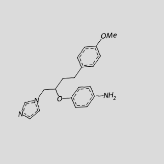 COc1ccc(CCC(Cn2ccnc2)Oc2ccc(N)cc2)cc1